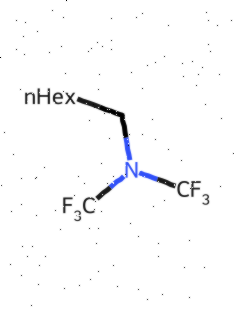 CCCCCCCN(C(F)(F)F)C(F)(F)F